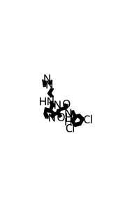 O=C(NCc1cc(Cl)cc(Cl)c1)c1nc(NCCCn2ccnc2)c2cccnc2c1O